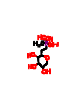 CP(O)(O)(O)CC[C@H]1OC[C@@H](O)[C@@H](O)[C@@H]1O